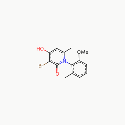 COc1cccc(C)c1-n1c(C)cc(O)c(Br)c1=O